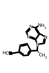 C#Cc1ccc([C@@H](C)n2cnc3c(N)ncnc32)cc1